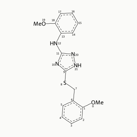 COc1ccccc1CSc1nc(Nc2ccccc2OC)n[nH]1